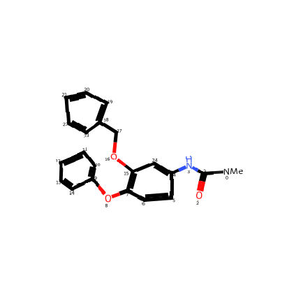 CNC(=O)Nc1ccc(Oc2ccccc2)c(OCc2ccccc2)c1